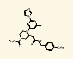 COC(=O)N1CCN(c2cc(C)nc(-n3ccnc3)n2)C(CC(=O)NCc2ccc(OC)cc2)C1